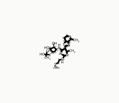 Cc1nc(NCCSC(C)(C)C)nc(N[C@@H]2C[C@H](CC(C)(C)O)[C@@H](O)[C@H]2O)c1-c1nc2c(C)nccc2s1